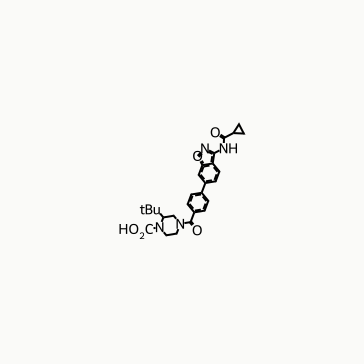 CC(C)(C)C1CN(C(=O)c2ccc(-c3ccc4c(NC(=O)C5CC5)noc4c3)cc2)CCN1C(=O)O